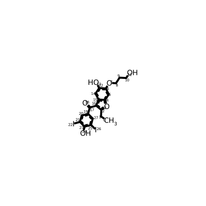 CCc1oc2cc(OCCCO)c(O)cc2c1C(=O)c1cc(I)c(O)c(I)c1